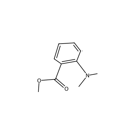 COC(=O)c1ccc[c]c1N(C)C